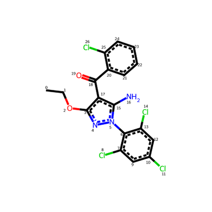 CCOc1nn(-c2c(Cl)cc(Cl)cc2Cl)c(N)c1C(=O)c1ccccc1Cl